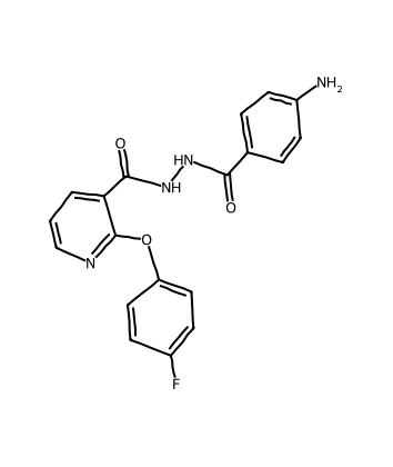 Nc1ccc(C(=O)NNC(=O)c2cccnc2Oc2ccc(F)cc2)cc1